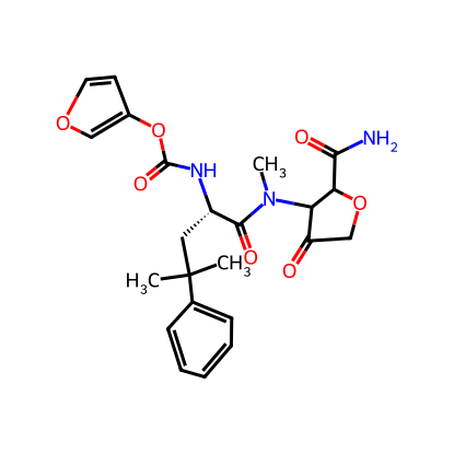 CN(C(=O)[C@H](CC(C)(C)c1ccccc1)NC(=O)Oc1ccoc1)C1C(=O)COC1C(N)=O